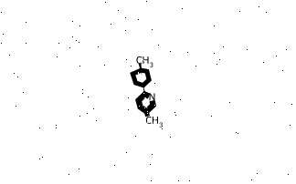 Cc1ccc([C@H]2CC[C@H](C)CC2)nc1